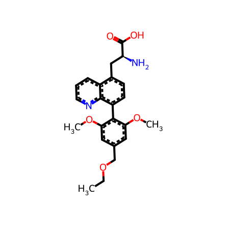 CCOCc1cc(OC)c(-c2ccc(C[C@H](N)C(=O)O)c3cccnc23)c(OC)c1